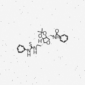 CC1(C)O[C@@H]2[C@@H](CCNC(=S)Nc3ccccc3)OC[C@]2(CNC(=O)c2ccccc2)O1